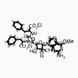 CCOC(=O)C(Cc1ccccc1)NP(=O)(NC(Cc1ccccc1)C(=O)OCC)OC[C@H]1O[C@@H](n2cnc3c(OC)nc(N)nc32)C(C)(O)C1O